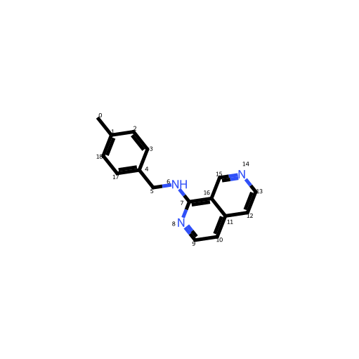 Cc1ccc(CNc2nccc3ccncc23)cc1